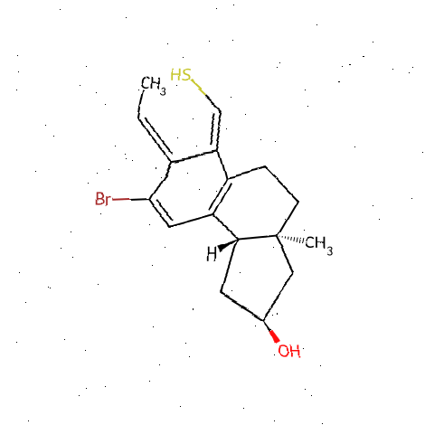 C/C=c1/c(Br)cc2c(/c1=C/S)CC[C@@]1(C)C[C@@H](O)C[C@H]21